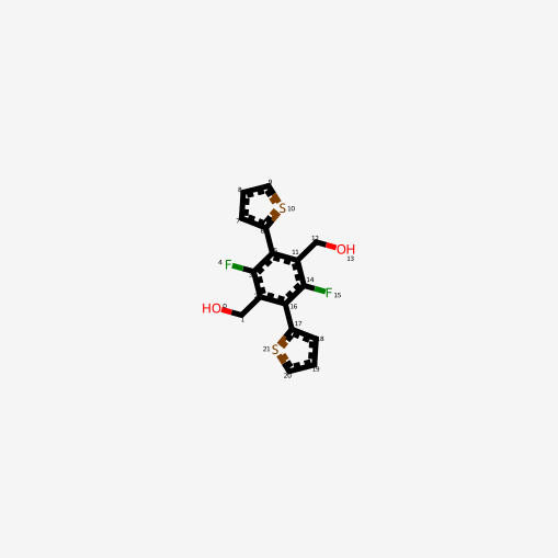 OCc1c(F)c(-c2cccs2)c(CO)c(F)c1-c1cccs1